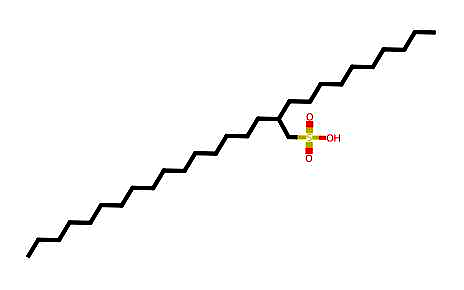 CCCCCCCCCCCCCCCCC(CCCCCCCCCC)CS(=O)(=O)O